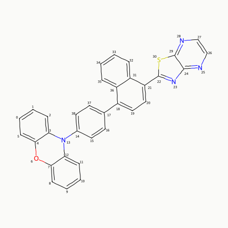 c1ccc2c(c1)Oc1ccccc1N2c1ccc(-c2ccc(-c3nc4nccnc4s3)c3ccccc23)cc1